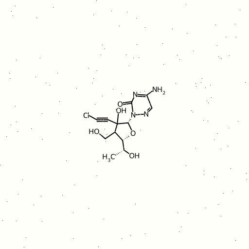 C[C@@H](O)[C@H]1O[C@@H](n2ncc(N)nc2=O)C(O)(C#CCl)C1CO